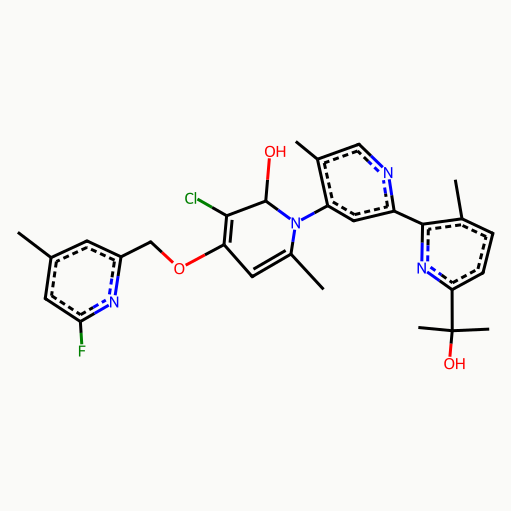 CC1=CC(OCc2cc(C)cc(F)n2)=C(Cl)C(O)N1c1cc(-c2nc(C(C)(C)O)ccc2C)ncc1C